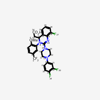 COc1ccc(C(F)(F)F)cc1N1C(N2CCN(c3ccc(F)c(F)c3)CC2)=Nc2c(F)cccc2C1CC(=O)O